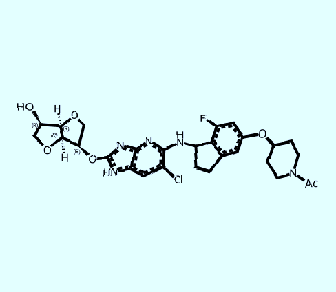 CC(=O)N1CCC(Oc2cc(F)c3c(c2)CCC3Nc2nc3nc(O[C@@H]4CO[C@H]5[C@@H]4OC[C@H]5O)[nH]c3cc2Cl)CC1